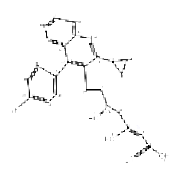 O=C(O)/C=C(\O)C[C@@H](O)CCc1c(C2CC2)nc2ccccc2c1-c1ccc(F)cc1